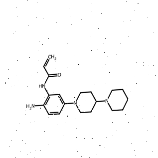 C=CC(=O)Nc1cc(N2CCC(N3CCCCC3)CC2)ccc1N